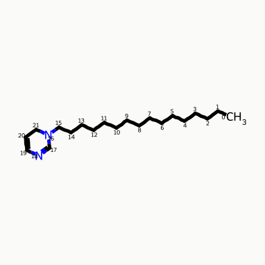 CCCCCCCCCCCCCCCCN1C=NC=CC1